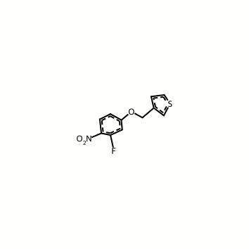 O=[N+]([O-])c1ccc(OCc2ccsc2)cc1F